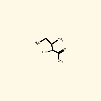 CCC(C)[C@H](N)C(C)=O